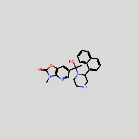 Cn1c(=O)oc2cc(C(C)(O)N3CCNCC3c3cccc4ccccc34)cnc21